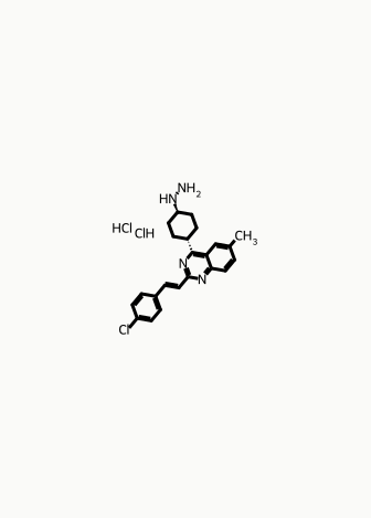 Cc1ccc2nc(C=Cc3ccc(Cl)cc3)nc([C@H]3CC[C@H](NN)CC3)c2c1.Cl.Cl